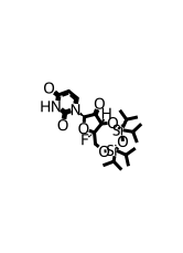 CC(C)[Si]1(C(C)C)OC[C@@]2(F)O[C@@H](n3ccc(=O)[nH]c3=O)C(=O)[C@@H]2O[Si](C(C)C)(C(C)C)O1